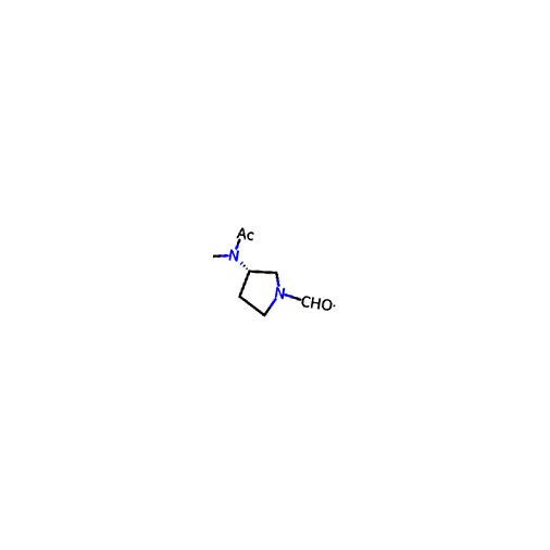 CC(=O)N(C)[C@H]1CCN([C]=O)C1